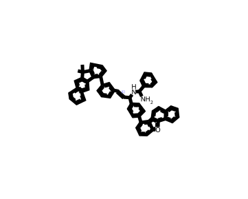 CC1(C)c2cc3ccccc3cc2-c2c(-c3cccc(/C=C/C(NC(N)c4ccccc4)c4ccc(-c5cccc6oc7c8ccccc8ccc7c56)cc4)c3)cccc21